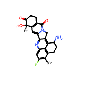 CCC1(O)C(=O)CCc2c1cc1n(c2=O)Cc2c-1nc1cc(F)c(C(C)C)c3c1c2C(N)CC3